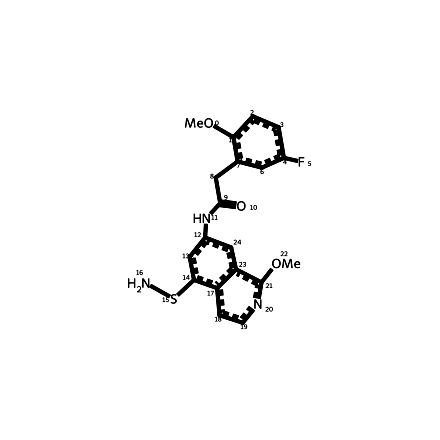 COc1ccc(F)cc1CC(=O)Nc1cc(SN)c2ccnc(OC)c2c1